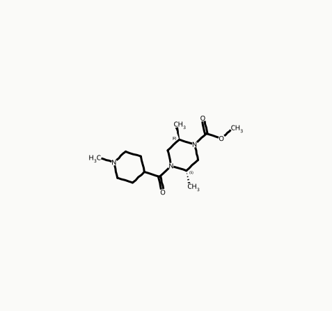 COC(=O)N1C[C@H](C)N(C(=O)C2CCN(C)CC2)C[C@H]1C